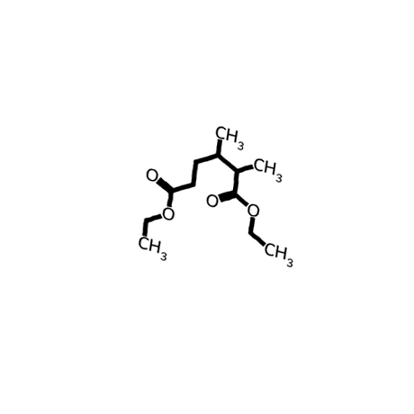 CCOC(=O)CCC(C)C(C)C(=O)OCC